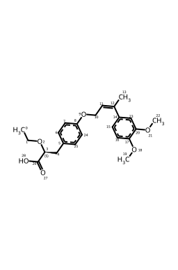 CCO[C@@H](Cc1ccc(OCC=C(C)c2ccc(OC)c(OC)c2)cc1)C(=O)O